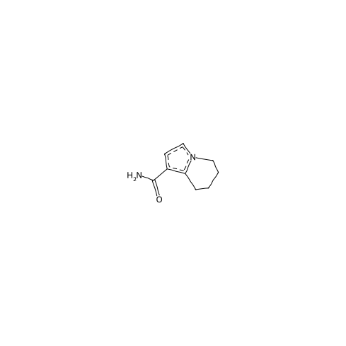 NC(=O)c1ccn2c1CCCC2